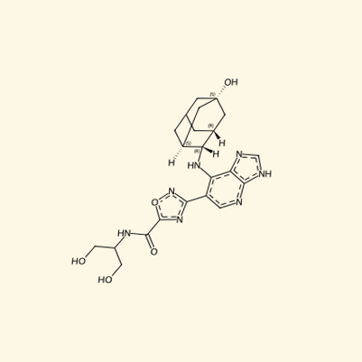 O=C(NC(CO)CO)c1nc(-c2cnc3[nH]cnc3c2N[C@H]2[C@@H]3CC4C[C@H]2C[C@@](O)(C4)C3)no1